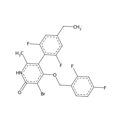 [CH2]Cc1cc(F)c(-c2c(C)[nH]c(=O)c(Br)c2OCc2ccc(F)cc2F)c(F)c1